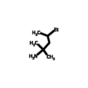 CCC(C)CC(C)(C)N